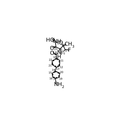 C[C@@](O)(C(F)F)[C@H](NC(=O)c1ccc(-c2ccc(N)cc2)cc1)C(=O)NO